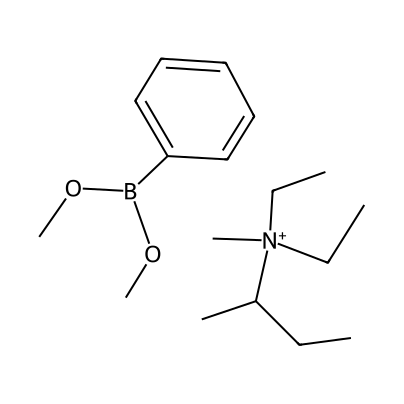 CCC(C)[N+](C)(CC)CC.COB(OC)c1ccccc1